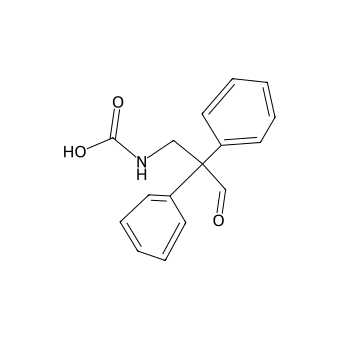 O=CC(CNC(=O)O)(c1ccccc1)c1ccccc1